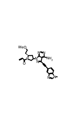 C=CC(=O)N1CC(n2nc(C#Cc3ccc4c(c3)ncn4C)c3c(N)ncnc32)C[C@@H]1CCOC